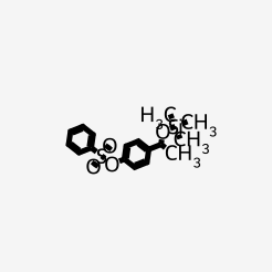 CC(O[Si](C)(C)C)c1ccc(OS(=O)(=O)c2ccccc2)cc1